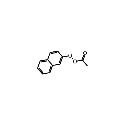 CC(=O)OOc1ccc2ccccc2c1